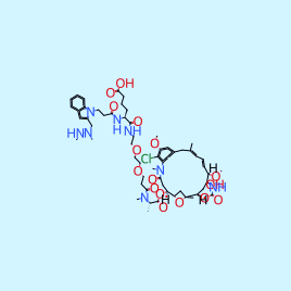 CNN(C)Cc1cc2ccccc2n1CCC(=O)N[C@@H](CCCC(=O)O)C(=O)NCCOCCOCCC(=O)N(C)[C@@H](C)C(=O)O[C@H]1CC(=O)N(C)c2cc(cc(OC)c2Cl)C/C(C)=C/C=C/[C@@H](OC)[C@@]2(O)C[C@H](OC(=O)N2)C2(C)C[C@@]1(C)O2